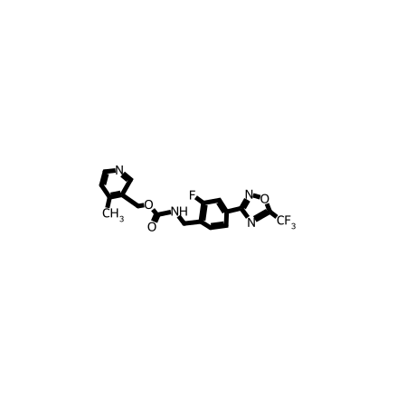 Cc1ccncc1COC(=O)NCc1ccc(-c2noc(C(F)(F)F)n2)cc1F